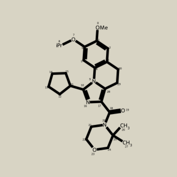 COc1cc2c(cc1OC(C)C)-n1c(C3CCCC3)nc(C(=O)N3CCOCC3(C)C)c1CC2